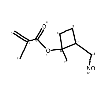 C=C(C)C(=O)OC1(C)CCC1CN=O